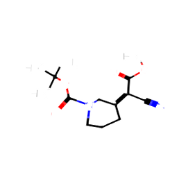 COC(=O)/C(C#N)=C1/CCCN(C(=O)OC(C)(C)C)C1